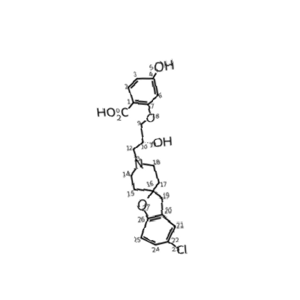 O=C(O)c1ccc(O)cc1OC[C@H](O)CN1CCC2(CC1)Cc1cc(Cl)ccc1O2